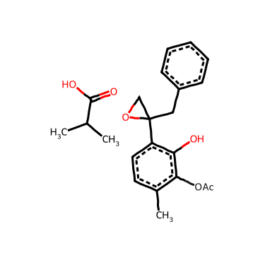 CC(=O)Oc1c(C)ccc(C2(Cc3ccccc3)CO2)c1O.CC(C)C(=O)O